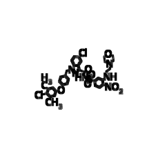 Cc1cc(Oc2ccc(Cn3nc(C(=O)NS(=O)(=O)c4ccc([N+](=O)[O-])c(NCCN5CCOCC5)c4)c4cc(Cl)ccc43)cc2)cc(C)c1Cl